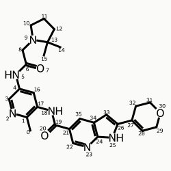 Cc1ncc(NC(=O)CN2CCCC2(C)C)cc1NC(=O)c1cnc2[nH]c(C3=CCOCC3)cc2c1